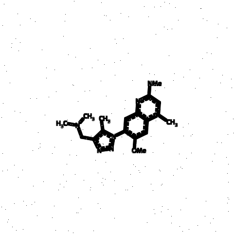 CNc1cc(C)c2cc(OC)c(-n3nnc(CN(C)C)c3C)cc2n1